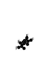 Fc1ccc(-c2cc(-c3ccccc3)cc(N(c3ccc(F)cc3)c3ccc4ccc5c(N(c6ccc(F)cc6)c6cc(-c7ccccc7)cc(-c7ccc(F)cc7)c6)ccc6ccc3c4c65)c2)cc1